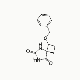 O=C1NC(=O)[C@]2(CCC2OCc2ccccc2)N1